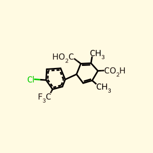 CC1=CC(c2ccc(Cl)c(C(F)(F)F)c2)C(C(=O)O)=C(C)C1C(=O)O